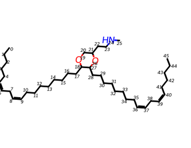 CCCCC/C=C\C/C=C\CCCCCCCCC1OCC(CCNC)OC1CCCCCCCC/C=C\C/C=C\CCCCC